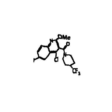 COc1nc2ccc(I)cc2c(Cl)c1C(=O)N1CCC(C(F)(F)F)CC1